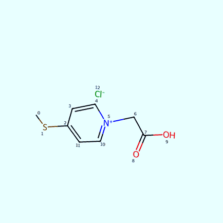 CSc1cc[n+](CC(=O)O)cc1.[Cl-]